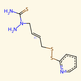 NC(=S)N(N)C/C=C/CSSc1ccccn1